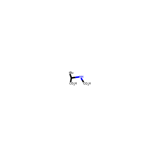 CC(C)(C)C(NC(=O)O)C(=O)O